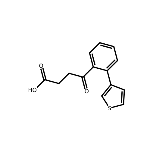 O=C(O)CCC(=O)c1ccccc1-c1ccsc1